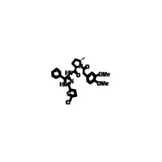 COc1ccc(CC(=O)N2[C@@H](C(=O)Nc3nc(-c4ccc(Cl)s4)[nH]c3-c3ccccc3)CC[C@@H]2C)cc1OC